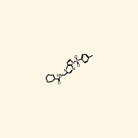 Cc1ccc(S(=O)(=O)n2ccc3nc(CNC(=O)C4CCCCC4)cnc32)cc1